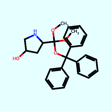 COC(OC)(OC(c1ccccc1)(c1ccccc1)c1ccccc1)C1CC(O)CN1